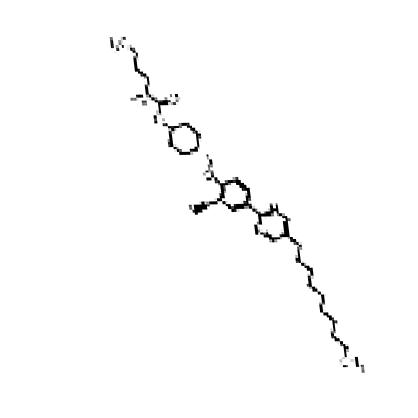 CCCCCCCCCCc1cnc(-c2ccc(OC[C@H]3CC[C@H](OC(=O)[C@@H](F)CCCC)CC3)c(C#N)c2)nc1